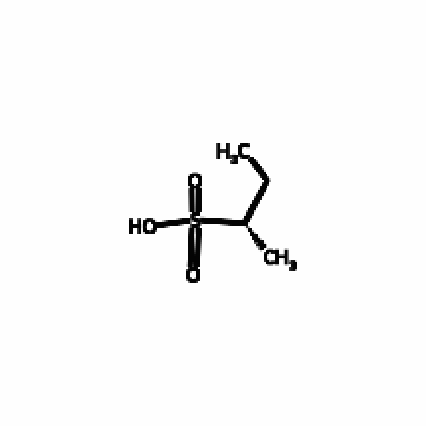 CC[C@H](C)S(=O)(=O)O